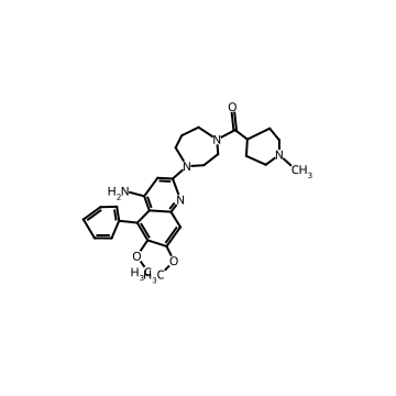 COc1cc2nc(N3CCCN(C(=O)C4CCN(C)CC4)CC3)cc(N)c2c(-c2ccccc2)c1OC